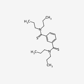 CCCN(CCC)C(=S)c1cccc(C(=S)N(CCC)CCC)c1